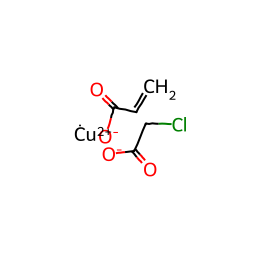 C=CC(=O)[O-].O=C([O-])CCl.[Cu+2]